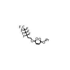 CC(C)OC(=O)/C=C\C(=O)OCCC(F)(F)C(F)(F)C(F)(F)C(F)(F)F